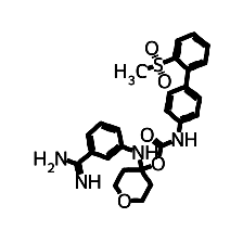 CS(=O)(=O)c1ccccc1-c1ccc(NC(=O)OC2(Nc3cccc(C(=N)N)c3)CCOCC2)cc1